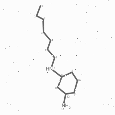 CCCCCCCNC1CCCC(N)C1